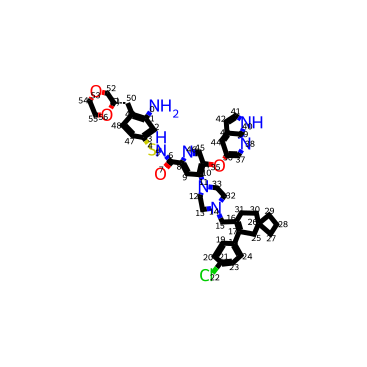 Nc1cc(SNC(=O)c2cc(N3CCN(CC4=C(c5ccc(Cl)cc5)CC5(CCC5)CC4)CC3)c(Oc3cnc4[nH]ccc4c3)cn2)ccc1C[C@H]1COCCO1